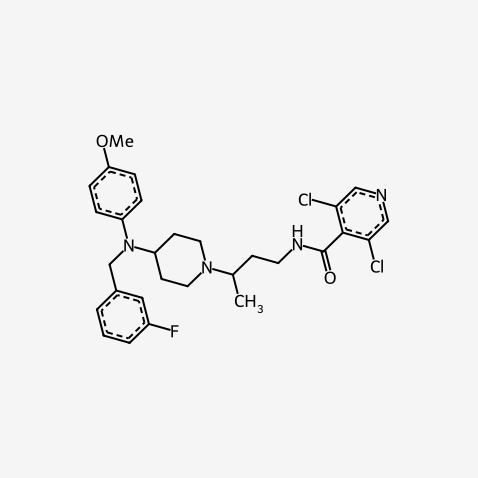 COc1ccc(N(Cc2cccc(F)c2)C2CCN(C(C)CCNC(=O)c3c(Cl)cncc3Cl)CC2)cc1